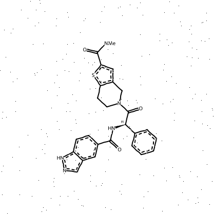 CNC(=O)c1cc2c(s1)CCN(C(=O)[C@H](NC(=O)c1ccc3[nH]ncc3c1)c1ccccc1)C2